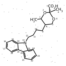 CC1OC(C)(C(=O)O)OCC1CCCCn1c2ccccc2c2ccccc21